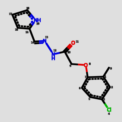 Cc1cc(Cl)ccc1OCC(=O)N/N=C/c1ccc[nH]1